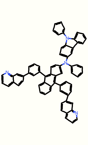 c1ccc(N(c2ccc3c(-c4cccc(-c5ccc6cccnc6c5)c4)c4ccccc4c(-c4cccc(-c5ccc6cccnc6c5)c4)c3c2)c2ccc3c(c2)c2ccccc2n3-c2ccccc2)cc1